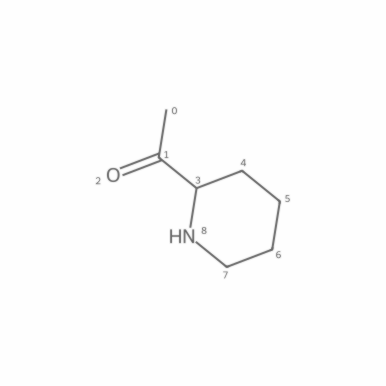 CC(=O)C1CCCCN1